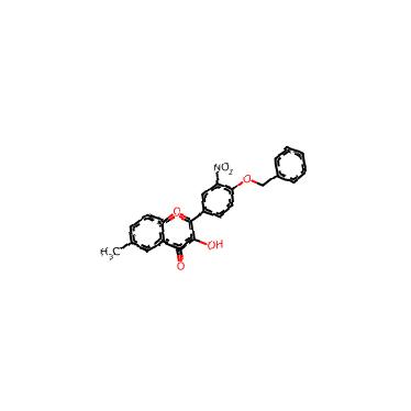 Cc1ccc2oc(-c3ccc(OCc4ccccc4)c([N+](=O)[O-])c3)c(O)c(=O)c2c1